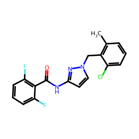 Cc1cccc(Cl)c1Cn1ccc(NC(=O)c2c(F)cccc2F)n1